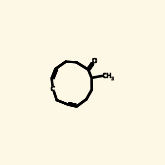 CC1CCC=CCCC=CCCC1=O